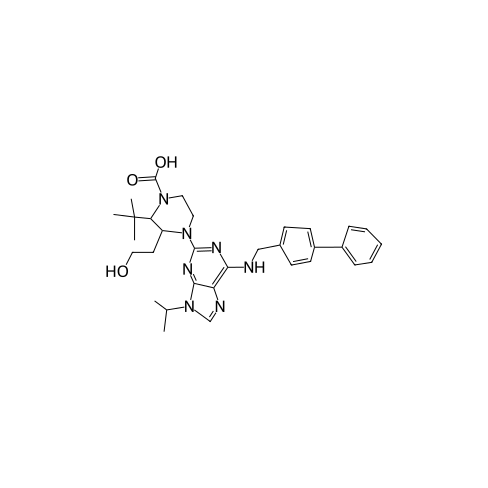 CC(C)n1cnc2c(NCc3ccc(-c4ccccc4)cc3)nc(N3CCN(C(=O)O)C(C(C)(C)C)C3CCO)nc21